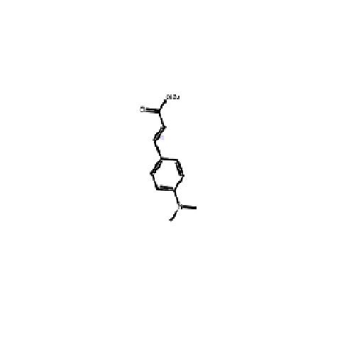 CC(C)COC(=O)/C=C/c1ccc(N(C)C)cc1